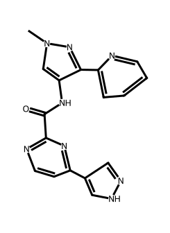 Cn1cc(NC(=O)c2nccc(-c3cn[nH]c3)n2)c(-c2ccccn2)n1